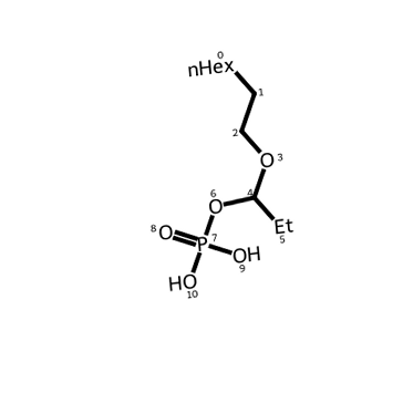 CCCCCCCCOC(CC)OP(=O)(O)O